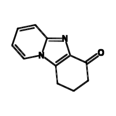 O=C1CCCc2c1nc1ccccn21